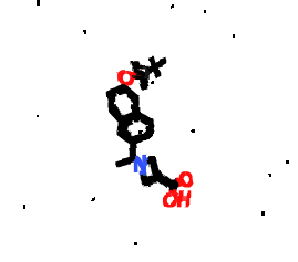 CC(c1ccc2cc(O[Si](C)(C)C(C)(C)C)ccc2c1)N1CC(C(=O)O)C1